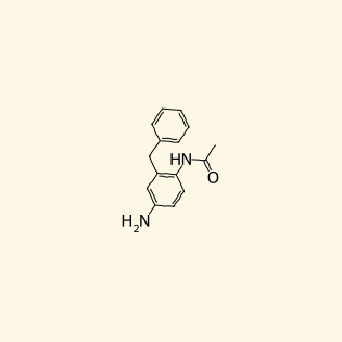 CC(=O)Nc1ccc(N)cc1Cc1ccccc1